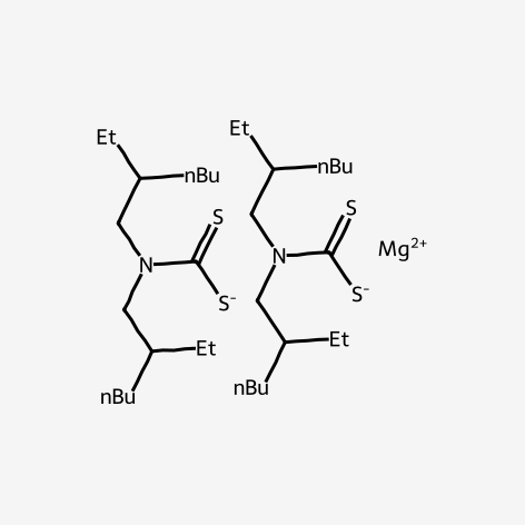 CCCCC(CC)CN(CC(CC)CCCC)C(=S)[S-].CCCCC(CC)CN(CC(CC)CCCC)C(=S)[S-].[Mg+2]